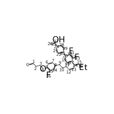 C=CCCOc1ccc(CCC/C=C\C(=C/CC)C2=CCC(C3=CCC(C(C)O)C=C3)C(F)=C2F)cc1F